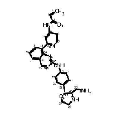 C=CC(=O)Nc1ccnc(-c2cccc3cnc(Nc4ccc([C@@H]5OCCNC5CN)cc4)nc23)c1